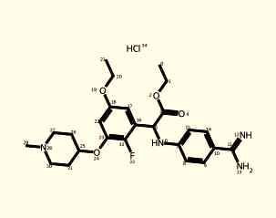 CCOC(=O)C(Nc1ccc(C(=N)N)cc1)c1cc(OCC)cc(OC2CCN(C)CC2)c1F.Cl